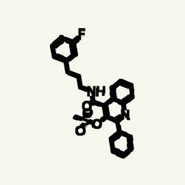 CS(=O)(=O)Oc1c(-c2ccccc2)nc2ccccc2c1C(=O)NCCCc1cccc(F)c1